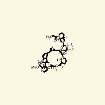 C=CC(=O)N1CCC[C@@H]2CN(C(=O)N(C)[C@H](C(=O)N[C@H]3Cc4nc(cs4)-c4ccc5c(c4)c(c(-c4cccnc4[C@H](C)OC)n5CC)CC(C)(C)COC(=O)[C@@H]4CCCN(N4)C3=O)C(C)C)C[C@@H]21